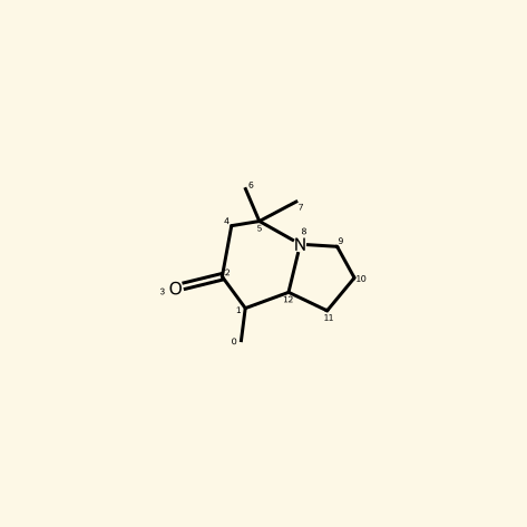 CC1C(=O)CC(C)(C)N2CCCC12